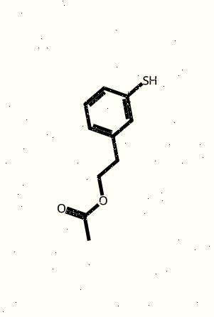 CC(=O)OCCc1cccc(S)c1